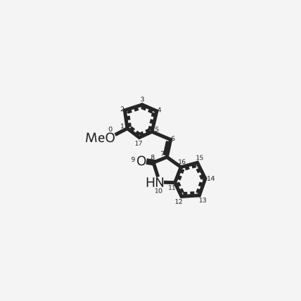 COc1cccc(/C=C2\C(=O)Nc3ccccc32)c1